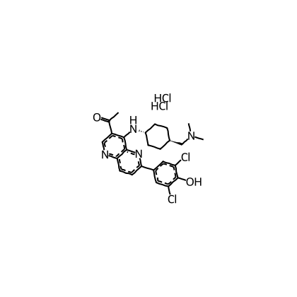 CC(=O)c1cnc2ccc(-c3cc(Cl)c(O)c(Cl)c3)nc2c1N[C@H]1CC[C@H](CN(C)C)CC1.Cl.Cl